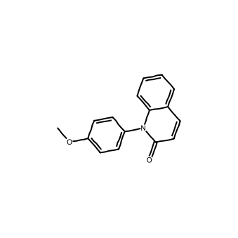 COc1ccc(-n2c(=O)ccc3ccccc32)cc1